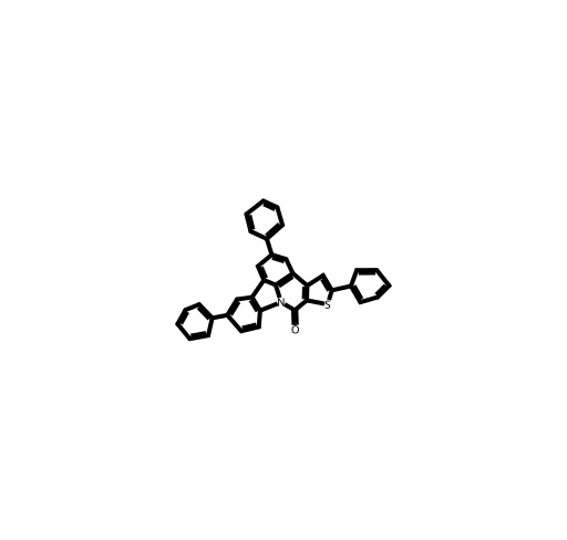 O=c1c2sc(-c3ccccc3)cc2c2cc(-c3ccccc3)cc3c4cc(-c5ccccc5)ccc4n1c23